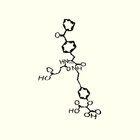 O=C(O)CCC(=O)N[C@@H](Cc1ccc(C(=O)c2ccccc2)cc1)C(=O)NCCc1ccc(OC(C(=O)O)C(=O)O)cc1